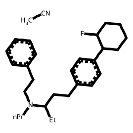 CC#N.CCCN(CCc1ccccc1)C(CC)CCc1ccc(C2CCCCC2F)cc1